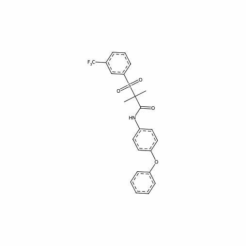 CC(C)(C(=O)Nc1ccc(Oc2ccccc2)cc1)S(=O)(=O)c1cccc(C(F)(F)F)c1